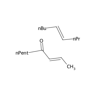 CC=CC(=O)CCCCC.CCC/C=C/CCCC